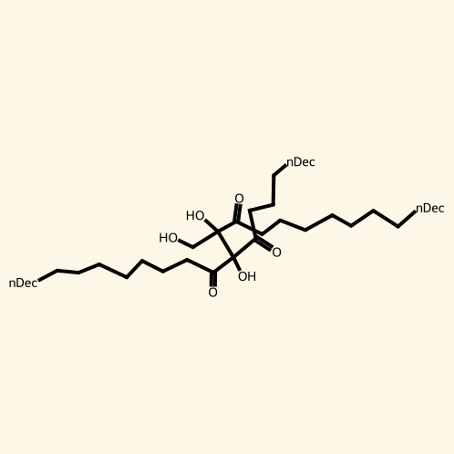 CCCCCCCCCCCCCCCCCC(=O)C(O)(CO)C(O)(C(=O)CCCCCCCCCCCCC)C(=O)CCCCCCCCCCCCCCCCC